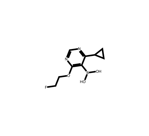 OB(O)c1c(OCCF)ncnc1C1CC1